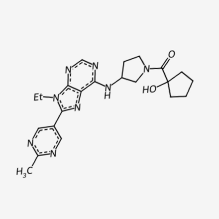 CCn1c(-c2cnc(C)nc2)nc2c(NC3CCN(C(=O)C4(O)CCCC4)C3)ncnc21